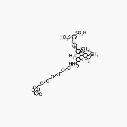 Cc1cc(C(=O)NCCOCCOCCOCCOCCOCCOCCC(=O)ON2C(=O)CCC2=O)cc(C)c1C1=c2cc3c(cc2[Si](C)(C)c2cc(N4CCN(Cc5ccc(S(=O)(=O)O)cc5S(=O)(=O)O)CC4)ccc21)=[N+](C)CC3